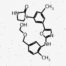 Cc1cc(-c2cnc(Nc3cc(COCO)ccc3C)o2)cc(N2CCNC2=O)c1